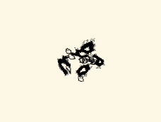 O=C(OCc1cccnc1)C(Cc1ccccc1)[C@H](O)CN(CC1CCCC1)S(=O)(=O)c1ccc(Cl)cc1